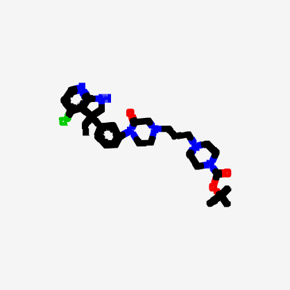 CCC1(c2cccc(N3CCN(CCCN4CCN(C(=O)OC(C)(C)C)CC4)CC3=O)c2)CNc2nccc(Cl)c21